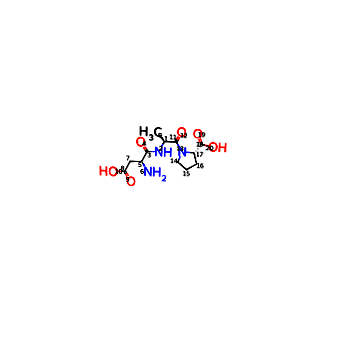 C[C@H](NC(=O)[C@@H](N)CC(=O)O)C(=O)N1CCC[C@H]1C(=O)O